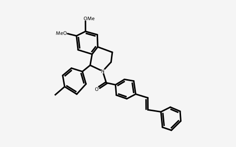 COc1cc2c(cc1OC)C(c1ccc(C)cc1)N(C(=O)c1ccc(C=Cc3ccccc3)cc1)CC2